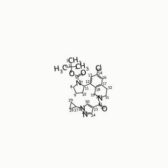 CC(C)(C)OC(=O)N1CCCC1c1cc(Cl)cc2c1CN(C(=O)c1cnn(C3CC3)c1)CC2